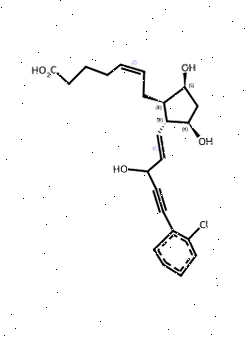 O=C(O)CCC/C=C\C[C@@H]1[C@@H](/C=C/C(O)C#Cc2ccccc2Cl)[C@H](O)C[C@@H]1O